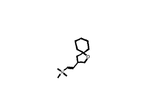 C[Si](C)(C)C=CC1COC2(CCCCC2)C1